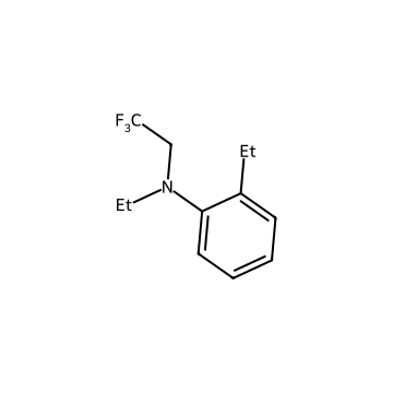 CCc1ccccc1N(CC)CC(F)(F)F